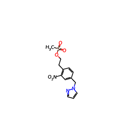 CS(=O)(=O)OCCc1ccc(Cn2cccn2)cc1[N+](=O)[O-]